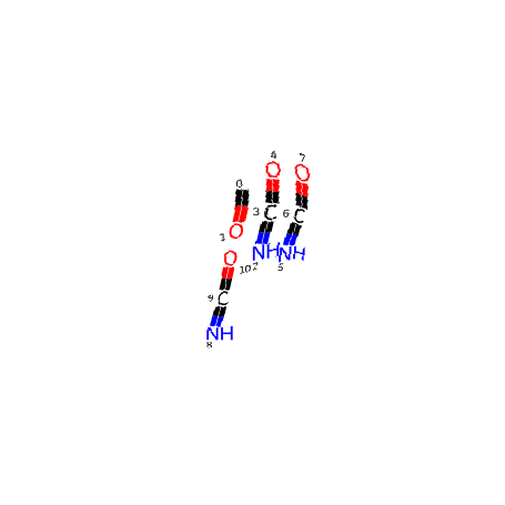 C=O.N=C=O.N=C=O.N=C=O